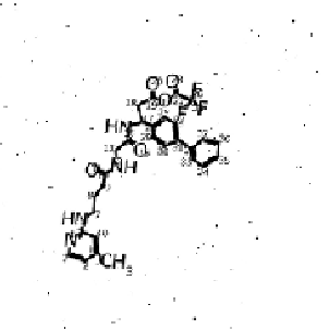 Cc1ccnc(NCCCC(=O)NCC(=O)NC(CC(=O)OC(=O)C(F)(F)F)c2ccc(-c3ccccc3)cc2)c1